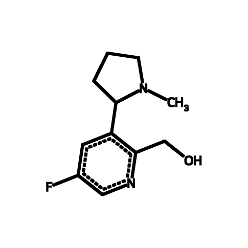 CN1CCCC1c1cc(F)cnc1CO